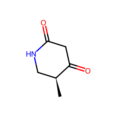 C[C@H]1CNC(=O)CC1=O